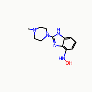 CN1CCN(c2nc3c(NO)cccc3[nH]2)CC1